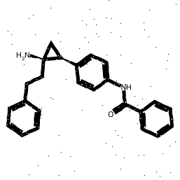 N[C@@]1(CCc2ccccc2)C[C@H]1c1ccc(NC(=O)c2ccccc2)cc1